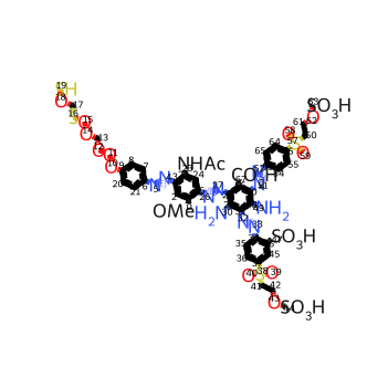 COc1cc(/N=N/c2ccc(OOOCOOSCOS)cc2)c(NC(C)=O)cc1/N=N/c1c(N)c(/N=N/c2ccc(S(=O)(=O)CCOS(=O)(=O)O)cc2S(=O)(=O)O)c(N)c(/N=N/c2ccc(S(=O)(=O)CCOS(=O)(=O)O)cc2)c1C(=O)O